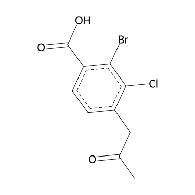 CC(=O)Cc1ccc(C(=O)O)c(Br)c1Cl